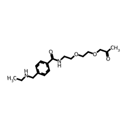 CCNCc1ccc(C(=O)NCCOCCOCC(C)=O)cc1